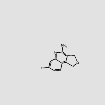 Nc1nc2cc(F)ccc2c2c1COC2